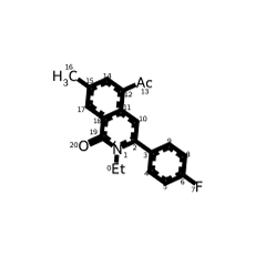 CCn1c(-c2ccc(F)cc2)cc2c(C(C)=O)cc(C)cc2c1=O